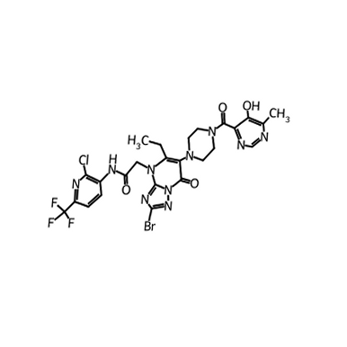 CCc1c(N2CCN(C(=O)c3ncnc(C)c3O)CC2)c(=O)n2nc(Br)nc2n1CC(=O)Nc1ccc(C(F)(F)F)nc1Cl